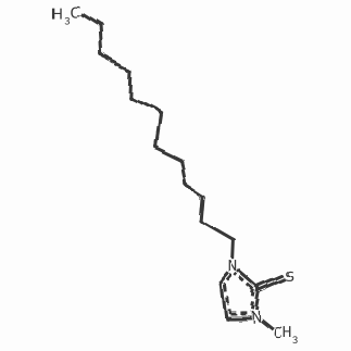 CCCCCCCCCCCCn1ccn(C)c1=S